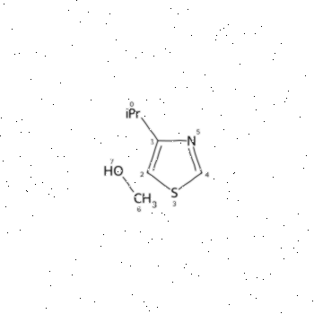 CC(C)c1cscn1.CO